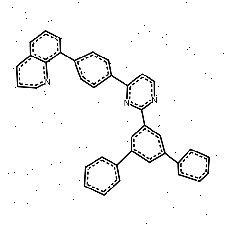 c1ccc(-c2cc(-c3ccccc3)cc(-c3nccc(-c4ccc(-c5cccc6cccnc56)cc4)n3)c2)cc1